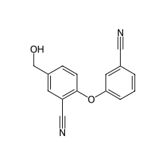 N#Cc1cccc(Oc2ccc(CO)cc2C#N)c1